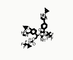 CC(C)(C[C@]1(c2ccc(-c3cnn(C4CC4)n3)cc2)NC(=N)N(C(COC(=O)NC2(C(F)(F)F)CC2)c2ccc(Cl)c(-c3ncnn3C3CC3)c2)C1=O)C(F)(F)F